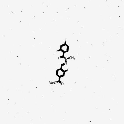 COC(=O)c1ccc(/C=N/N(C)C(=O)c2ccc(F)cc2F)c(F)c1